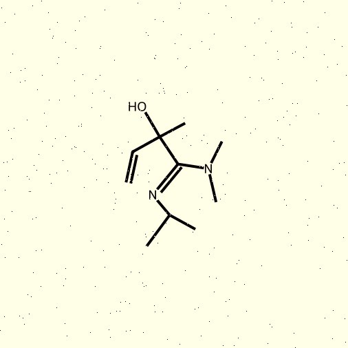 C=CC(C)(O)C(=NC(C)C)N(C)C